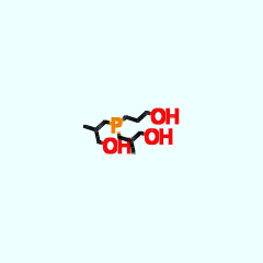 CC(CO)CP(CCCO)CC(C)CO